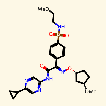 COCCNS(=O)(=O)c1ccc(/C(=N\O[C@@H]2CC[C@@H](OC)C2)C(=O)Nc2cnc(C3CC3)cn2)cc1